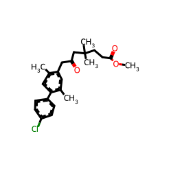 COC(=O)CCC(C)(C)CC(=O)Cc1cc(C)c(-c2ccc(Cl)cc2)cc1C